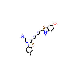 COc1ccc2c(c1)sc(/C=C/C=C/C=C1\Sc3cc(C)ccc3N1CCN(C)C)[n+]2C